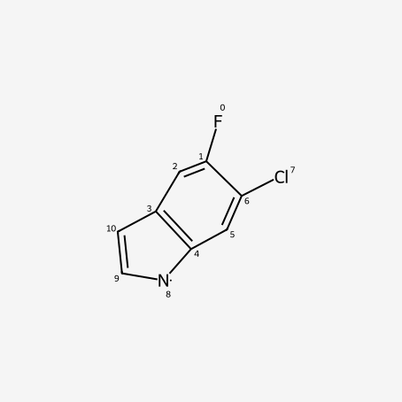 Fc1cc2c(cc1Cl)[N]C=C2